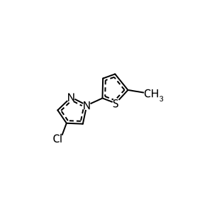 Cc1ccc(-n2cc(Cl)cn2)s1